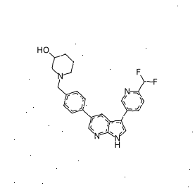 OC1CCCN(Cc2ccc(-c3cnc4[nH]cc(-c5ccc(C(F)F)nc5)c4c3)cc2)C1